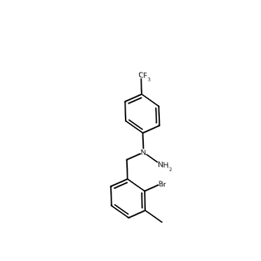 Cc1cccc(CN(N)c2ccc(C(F)(F)F)cc2)c1Br